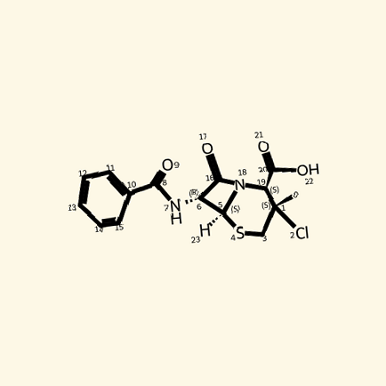 C[C@@]1(Cl)CS[C@H]2[C@H](NC(=O)c3ccccc3)C(=O)N2[C@H]1C(=O)O